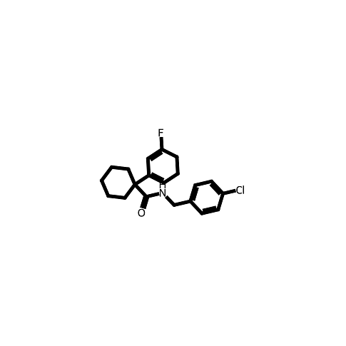 O=C(NCc1ccc(Cl)cc1)C1(C2=CCCC(F)=C2)CCCCC1